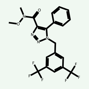 CON(C)C(=O)c1nnn(Cc2cc(C(F)(F)F)cc(C(F)(F)F)c2)c1-c1ccccc1